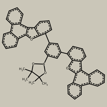 CC1(C)OB(c2cc(-c3cccc4c3oc3c5ccccc5c5ccccc5c43)cc(-c3cccc4c3oc3c5ccccc5c5ccccc5c43)c2)OC1(C)C